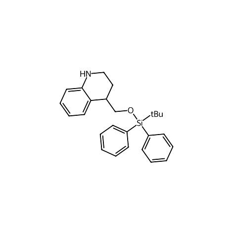 CC(C)(C)[Si](OCC1CCNc2ccccc21)(c1ccccc1)c1ccccc1